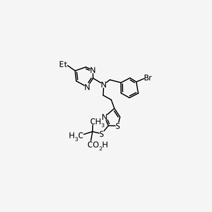 CCc1cnc(N(CCc2csc(SC(C)(C)C(=O)O)n2)Cc2cccc(Br)c2)nc1